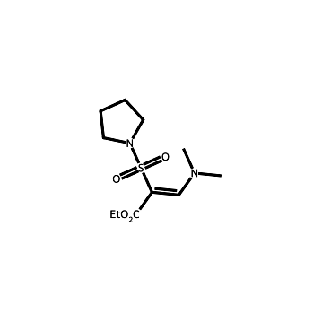 CCOC(=O)/C(=C/N(C)C)S(=O)(=O)N1CCCC1